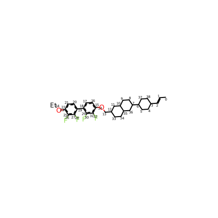 C/C=C/C1CCC(C2CCC3CC(COc4ccc(-c5ccc(OCC)c(F)c5F)c(F)c4F)CCC3C2)CC1